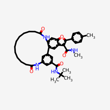 CNC(=O)c1c(-c2ccc(C)cc2)oc2cc3c(cc12)-c1cc(cc(C(=O)NC(C)(C)C)c1)NC(=O)CCCCCCCCCCC(=O)N3